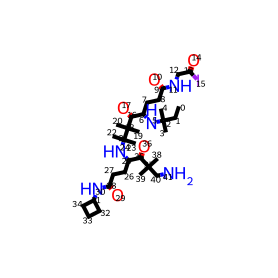 CCC(C)(C)NC(CCC(=O)NCC(=O)I)C(=O)C(C)(C)C(C)(C)NC(CCC(=O)NC1CCC1)C(=O)C(C)(C)CN